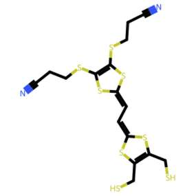 N#CCCSC1=C(SCCC#N)SC(=CC=C2SC(CS)=C(CS)S2)S1